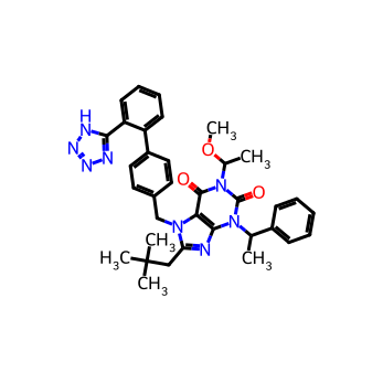 COC(C)n1c(=O)c2c(nc(CC(C)(C)C)n2Cc2ccc(-c3ccccc3-c3nnn[nH]3)cc2)n(C(C)c2ccccc2)c1=O